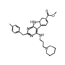 COC(=O)C1=CC=C2c3c(NCCCN4CCCCC4)nc(Cc4ccc(C)cc4)nc3NC2C1